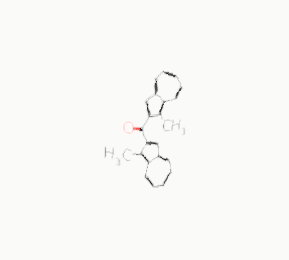 Cc1c(C(=O)c2cc3cccccc-3c2C)cc2cccccc1-2